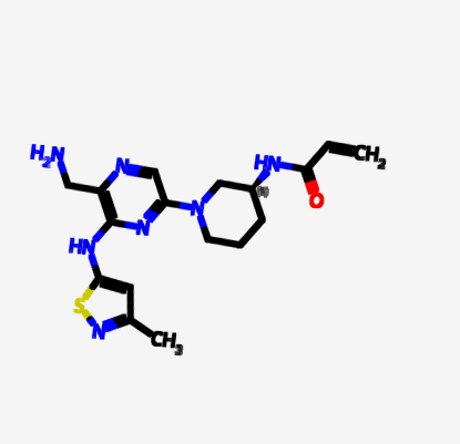 C=CC(=O)N[C@H]1CCCN(c2cnc(CN)c(Nc3cc(C)ns3)n2)C1